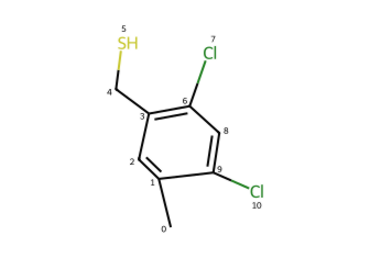 Cc1cc(CS)c(Cl)cc1Cl